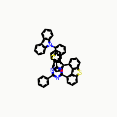 c1ccc(-c2nc(-c3ccccc3)nc(-c3cccc4sc5cccc(-c6cccc7sc8c(-n9c%10ccccc%10c%10ccccc%109)cccc8c67)c5c34)n2)cc1